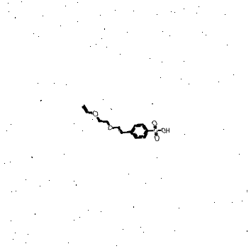 C=COCCOCCc1ccc(S(=O)(=O)O)cc1